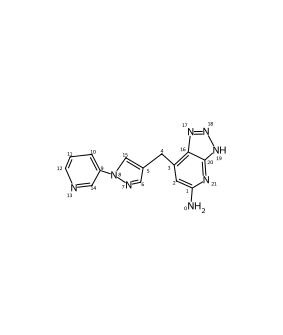 Nc1cc(Cc2cnn(-c3cccnc3)c2)c2nn[nH]c2n1